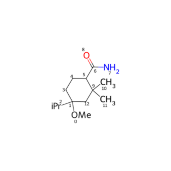 COC1(C(C)C)CCC(C(N)=O)C(C)(C)C1